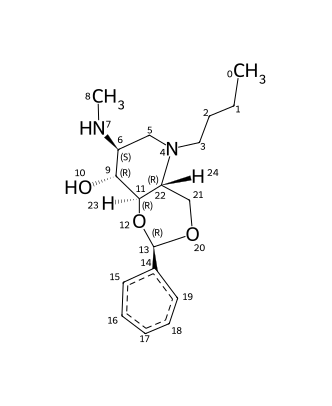 CCCCN1C[C@H](NC)[C@@H](O)[C@@H]2O[C@H](c3ccccc3)OC[C@H]21